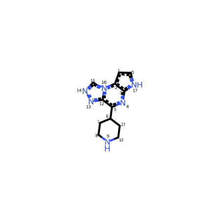 c1cc2c(nc(C3CCNCC3)c3nncn32)[nH]1